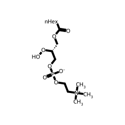 CCCCCCC(=O)OC[C@H](COP(=O)([O-])OCC[N+](C)(C)C)OO